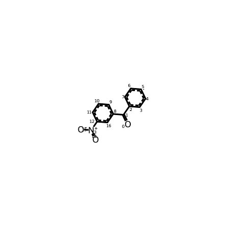 O=C(c1cc[c]cc1)c1cccc([N+](=O)[O-])c1